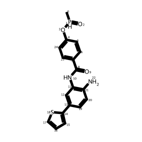 C[PH](=O)Oc1ccc(C(=O)Nc2cc(-c3cccs3)ccc2N)cc1